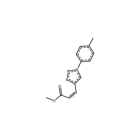 COC(=O)/C=C\c1cn(-c2ccc(C)cc2)nn1